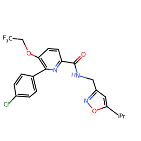 CC(C)c1cc(CNC(=O)c2ccc(OCC(F)(F)F)c(-c3ccc(Cl)cc3)n2)no1